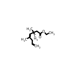 C=CC/C(C)=C\C(C)(C)CC(=O)OCC